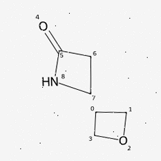 C1COC1.O=C1CCN1